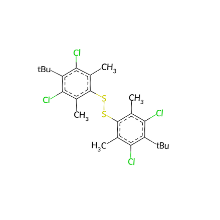 Cc1c(Cl)c(C(C)(C)C)c(Cl)c(C)c1SSc1c(C)c(Cl)c(C(C)(C)C)c(Cl)c1C